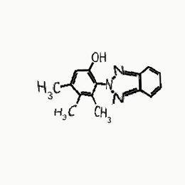 Cc1cc(O)c(-n2nc3ccccc3n2)c(C)c1C